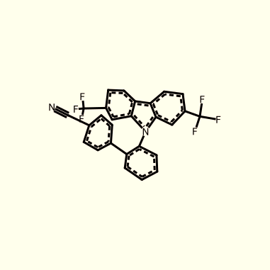 N#Cc1ccc(-c2ccccc2-n2c3cc(C(F)(F)F)ccc3c3ccc(C(F)(F)F)cc32)cc1